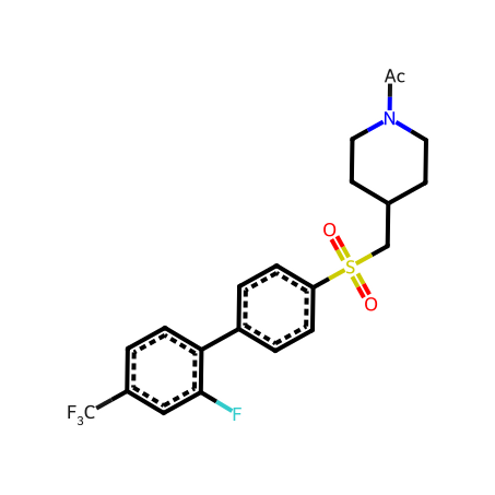 CC(=O)N1CCC(CS(=O)(=O)c2ccc(-c3ccc(C(F)(F)F)cc3F)cc2)CC1